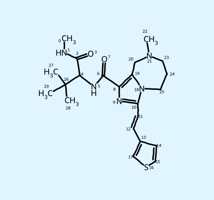 CNC(=O)C(NC(=O)c1nc(C=Cc2ccsc2)n2c1CN(C)CCC2)C(C)(C)C